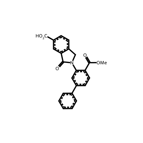 COC(=O)c1ccc(-c2ccccc2)cc1N1Cc2ccc(C(=O)O)cc2C1=O